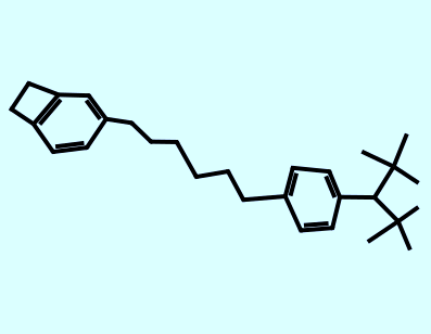 CC(C)(C)C(c1ccc(CCCCCCc2ccc3c(c2)CC3)cc1)C(C)(C)C